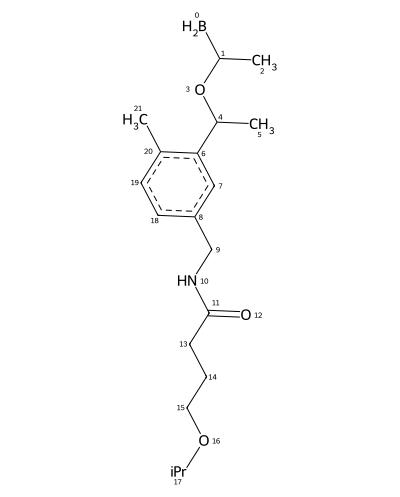 BC(C)OC(C)c1cc(CNC(=O)CCCOC(C)C)ccc1C